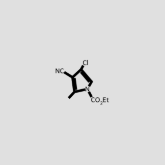 CCOC(=O)n1cc(Cl)c(C#N)c1C